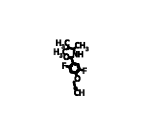 C#CCOc1cc(F)c(C(=O)NC(C)C(C)C)cc1F